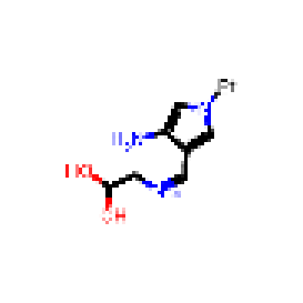 CCn1cc(N)c(/C=N\CC(O)O)c1